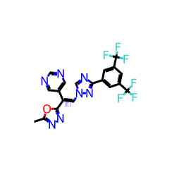 Cc1nnc(/C(=C/n2cnc(-c3cc(C(F)(F)F)cc(C(F)(F)F)c3)n2)c2cncnc2)o1